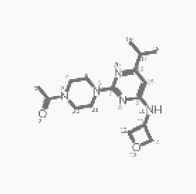 CC(=O)N1CCN(c2nc(NC3COC3)cc(C(C)C)n2)CC1